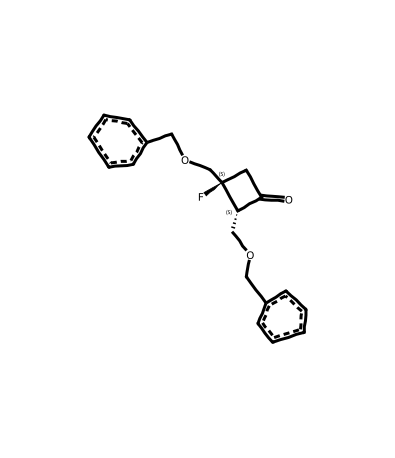 O=C1C[C@@](F)(COCc2ccccc2)[C@H]1COCc1ccccc1